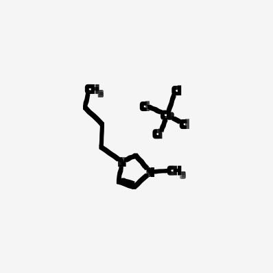 CCCCN1C=CN(C)C1.[Cl][Co]([Cl])([Cl])[Cl]